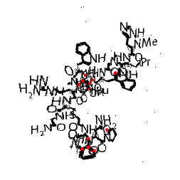 CCCC[C@@H](C(=O)N(C)[C@@H](CCCC)C(=O)N[C@@H](CCCNC(=N)N)C(=O)N[C@@H](CSCC(=O)NC(Cc1ccccc1)C(=O)N(C)[C@@H](C)C(=O)N[C@@H](CC(N)=O)C(=O)N1CCCC1)C(=O)NCC(N)=O)N(C)C(=O)[C@H](Cc1c[nH]c2ccccc12)NC(=O)[C@H](CO)NC(=O)[C@H](Cc1c[nH]c2ccccc12)NC(=O)CN(C)C(=O)[C@H](CC(C)C)NC(=O)[C@H](Cc1cnc[nH]1)NC